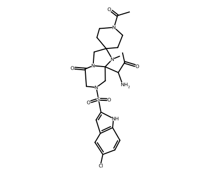 CC(=O)C(N)C12CN(S(=O)(=O)c3cc4cc(Cl)ccc4[nH]3)CC(=O)N1CC1(CCN(C(C)=O)CC1)N2C